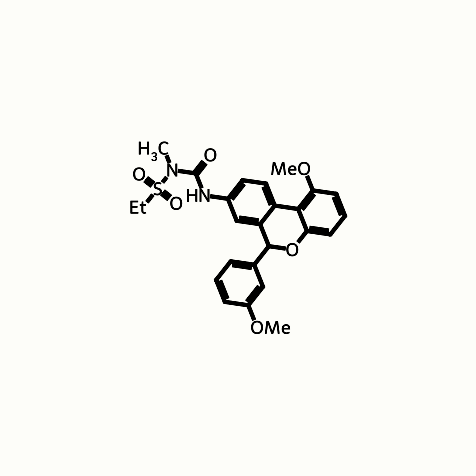 CCS(=O)(=O)N(C)C(=O)Nc1ccc2c(c1)C(c1cccc(OC)c1)Oc1cccc(OC)c1-2